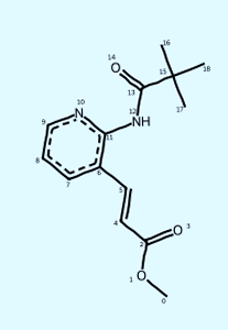 COC(=O)/C=C/c1cccnc1NC(=O)C(C)(C)C